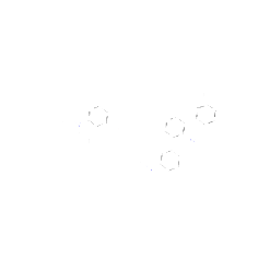 COc1cccc(CN(Cc2ccc(N3CCOCC3)cc2)c2cccc(COCCOc3cccc(N(C)C)c3)c2)c1